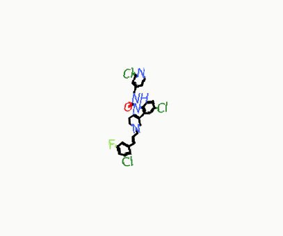 O=C(NCc1ccnc(Cl)c1)n1c2c(c3cc(Cl)ccc31)CN(CC=Cc1cc(F)cc(Cl)c1)CC2